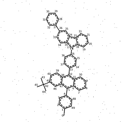 Cc1ccc(-c2c3ccccc3c(-c3ccc(-n4c5ccccc5c5cc(-c6ccccc6)ccc54)cc3)c3ccc(C(C)(C)C)cc23)cc1